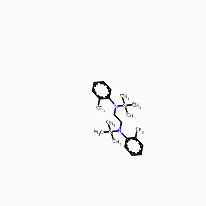 C[Si](C)(C)N(CCN(c1ccccc1C(F)(F)F)[Si](C)(C)C)c1ccccc1C(F)(F)F